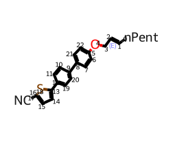 CCCCC/C=C/COc1ccc(-c2ccc(-c3ccc(C#N)s3)cc2)cc1